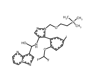 C[Si](C)(C)CCOCn1ncc(NC(O)c2cnn3cccnc23)c1-c1cc(I)ccc1OC(F)F